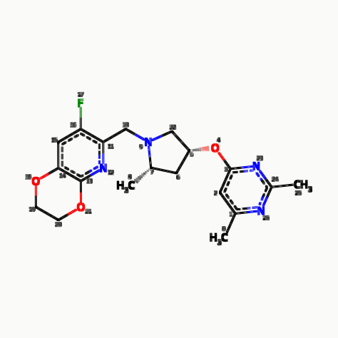 Cc1cc(O[C@@H]2C[C@H](C)N(Cc3nc4c(cc3F)OCCO4)C2)nc(C)n1